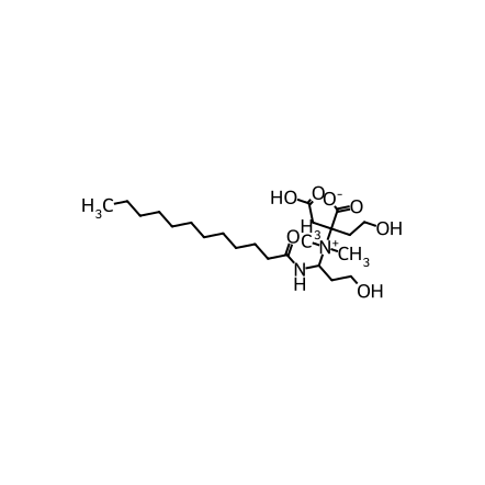 CCCCCCCCCCCC(=O)NC(CCO)[N+](C)(C)C(CCO)(CC(=O)O)C(=O)[O-]